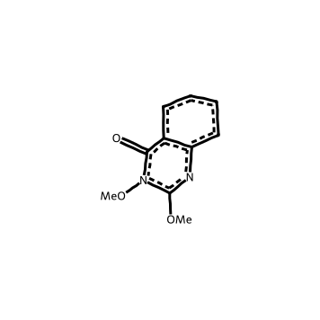 COc1nc2ccccc2c(=O)n1OC